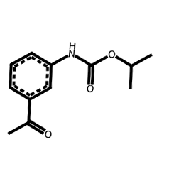 CC(=O)c1cccc(NC(=O)OC(C)C)c1